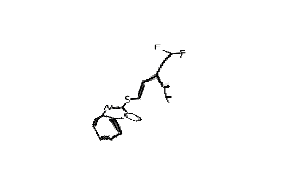 FC(F)C(F)C=CSc1nc2ccccc2o1